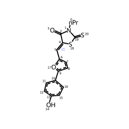 CCCN1C(=O)/C(=C/c2ccc(-c3ccc(O)cc3)o2)SC1=S